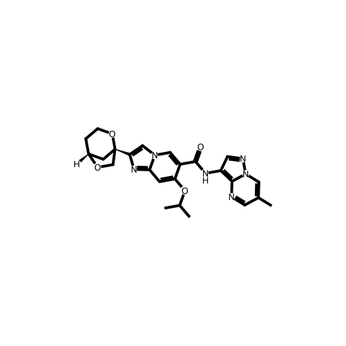 Cc1cnc2c(NC(=O)c3cn4cc([C@]56CO[C@H](CCO5)C6)nc4cc3OC(C)C)cnn2c1